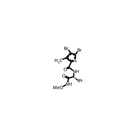 CONC(=O)[C@@H](NC(=O)c1sc(Br)c(Br)c1C)C(C)C